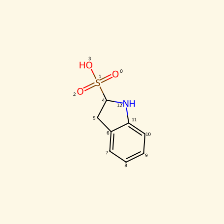 O=S(=O)(O)C1Cc2ccccc2N1